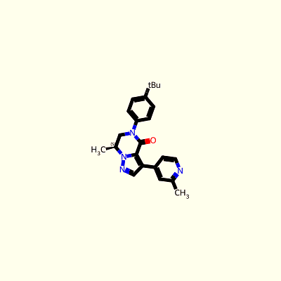 Cc1cc(-c2cnn3c2C(=O)N(c2ccc(C(C)(C)C)cc2)C[C@@H]3C)ccn1